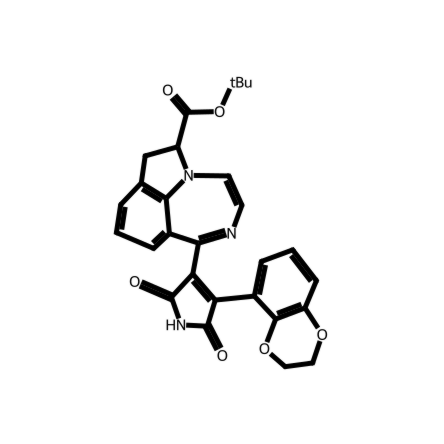 CC(C)(C)OC(=O)C1Cc2cccc3c2N1C=CN=C3C1=C(c2cccc3c2OCCO3)C(=O)NC1=O